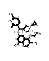 Cc1nc(Cl)ccc1[C@H](Nc1cc(Cl)c2ncc(C#N)c(NCC(C)(C)C)c2c1)C1=CN(C2CC2)NN1